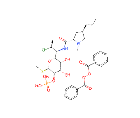 CCC[C@@H]1C[C@@H](C(=O)N[C@@H]([C@H]2O[C@H](SC)[C@H](OP(=O)(O)O)[C@@H](O)[C@H]2O)[C@H](C)Cl)N(C)C1.O=C(OOC(=O)c1ccccc1)c1ccccc1